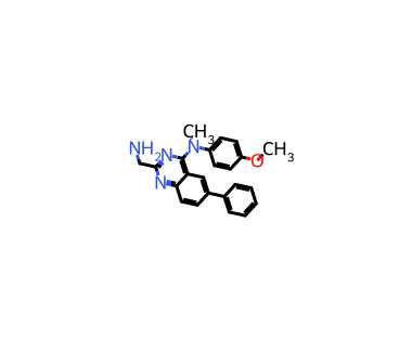 COc1ccc(N(C)c2nc(CN)nc3ccc(-c4ccccc4)cc23)cc1